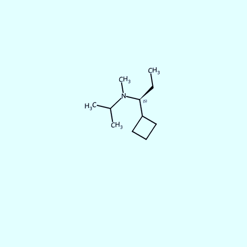 CC[C@@H](C1CCC1)N(C)C(C)C